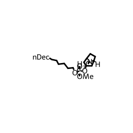 CCCCCCCCCCCCCCCCOP(=O)(OC)OC1CC2CC[C@H](C1)N2C